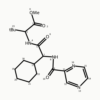 COC(=O)C(NC(=O)C(NC(=O)c1cnccn1)C1CCCCC1)C(C)(C)C